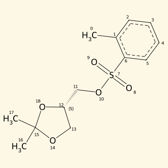 Cc1ccccc1S(=O)(=O)OC[C@@H]1COC(C)(C)O1